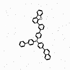 c1ccc(-c2ccc(N(c3ccc(-c4cccc(-c5cccc6c5oc5ccccc56)c4)cc3)c3ccc(-c4ccc5ccccc5c4)cc3)cc2)cc1